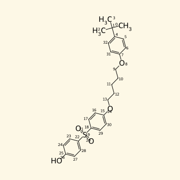 CC(C)(C)c1ccc(OCCCCCOc2ccc(S(=O)(=O)c3ccc(O)cc3)cc2)cc1